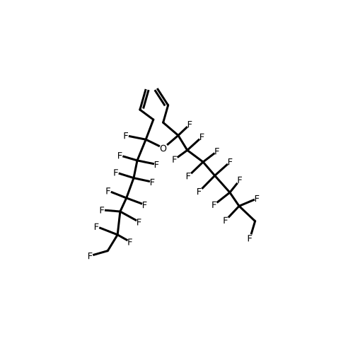 C=CCC(F)(OC(F)(CC=C)C(F)(F)C(F)(F)C(F)(F)C(F)(F)C(F)(F)CF)C(F)(F)C(F)(F)C(F)(F)C(F)(F)C(F)(F)CF